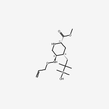 C=CCON[C@H]1CN[C@H](C(=O)OC)C[C@@H]1CC(C)(C)[Si](C)(C)O